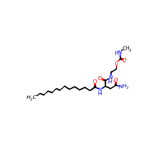 CCCCCCCCCCCCCC(=O)NC(CC(N)=O)C(=O)NCCOC(=O)NC